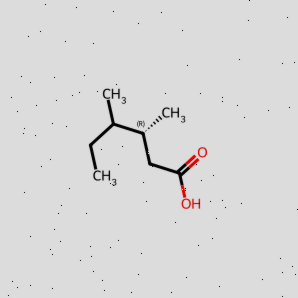 CCC(C)[C@H](C)CC(=O)O